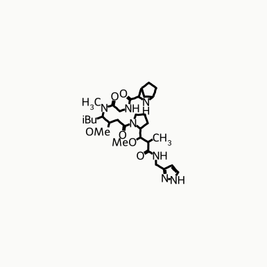 CCC(C)C(C(CC(=O)N1CCCC1C(OC)C(C)C(=O)NCc1cc[nH]n1)OC)N(C)C(=O)CNC(=O)C1NC2CCC1C2